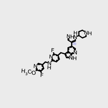 COc1ncc(CNc2ccc(Cc3c[nH]c4ncc(/C(C=N)=C/NC5CCNCC5)cc34)c(F)n2)cc1F